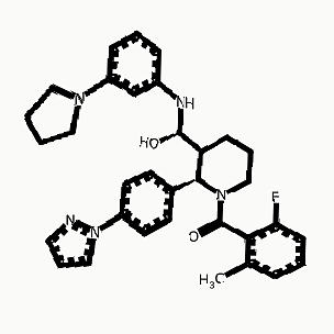 Cc1cccc(F)c1C(=O)N1CCCC([C@@H](O)Nc2cccc(N3CCCC3)c2)[C@@H]1c1ccc(-n2cccn2)cc1